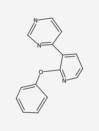 c1ccc(Oc2ncccc2-c2ccncn2)cc1